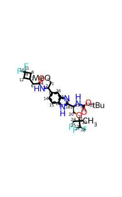 COCC(NC(=O)CC1CC(F)(F)C1)c1ccc2[nH]c([C@H](COC(C)(CF)C(F)F)NC(=O)OC(C)(C)C)nc2c1